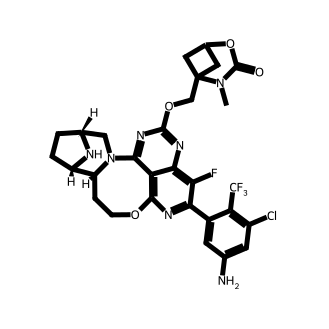 CN1C(=O)OC2CC1(COc1nc3c4c(nc(-c5cc(N)cc(Cl)c5C(F)(F)F)c(F)c4n1)OCC[C@@H]1[C@@H]4CC[C@H](CN31)N4)C2